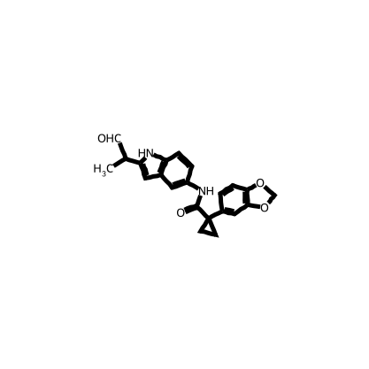 CC(C=O)c1cc2cc(NC(=O)C3(c4ccc5c(c4)OCO5)CC3)ccc2[nH]1